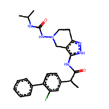 CC(C)NC(=O)NN1CCc2n[nH]c(NC(=O)C(C)c3ccc(-c4ccccc4)c(F)c3)c2C1